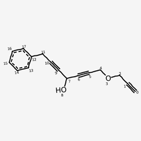 C#CCOCC#CC(O)C#CCc1ccccc1